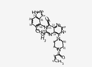 C=CC(=O)N1CCN(c2ncnc3c(=O)n(-c4c(C)ccc5[nH]ncc45)c(C)nc23)CC1